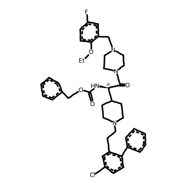 CCOc1ccc(F)cc1CN1CCN(C(=O)[C@H](NC(=O)OCc2ccccc2)C2CCN(CCc3cc(Cl)ccc3-c3ccccc3)CC2)CC1